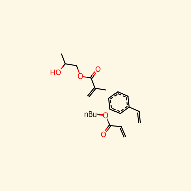 C=C(C)C(=O)OCC(C)O.C=CC(=O)OCCCC.C=Cc1ccccc1